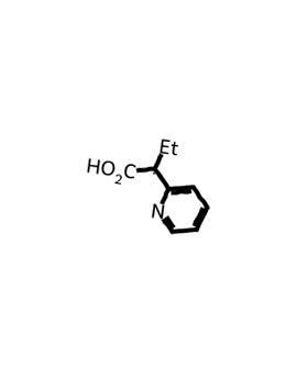 CC[C](C(=O)O)c1ccccn1